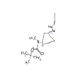 CN(C(=O)OC(C)(C)C)[C@H]1CC/C(=N/NSI)C1